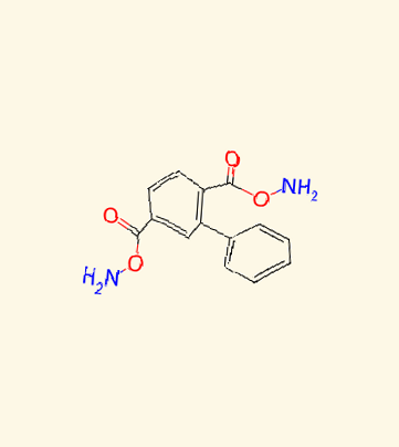 NOC(=O)c1ccc(C(=O)ON)c(-c2ccccc2)c1